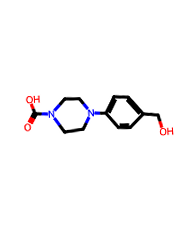 O=C(O)N1CCN(c2ccc(CO)cc2)CC1